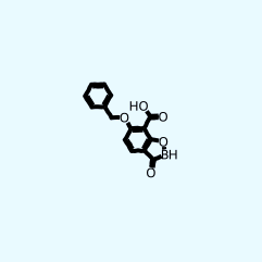 O=C1BOc2c1ccc(OCc1ccccc1)c2C(=O)O